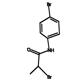 CC(Br)C(=O)Nc1ccc(Br)cc1